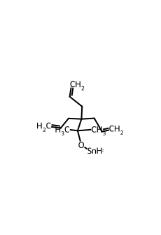 C=CCC(CC=C)(CC=C)C(C)(C)[O][SnH]